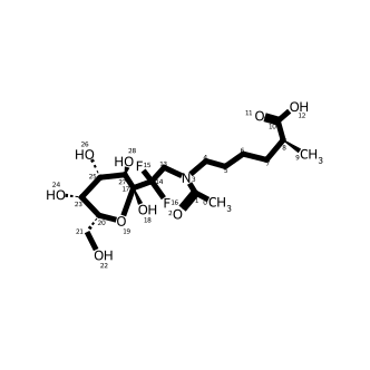 CC(=O)N(CCCC[C@H](C)C(=O)O)CC(F)(F)[C@]1(O)O[C@H](CO)[C@H](O)[C@H](O)[C@H]1O